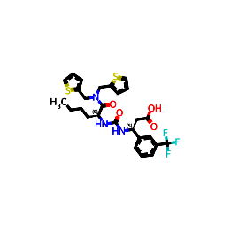 CCCC[C@H](NC(=O)N[C@@H](CC(=O)O)c1cccc(C(F)(F)F)c1)C(=O)N(Cc1cccs1)Cc1cccs1